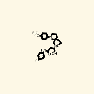 O=C(CC(CO)N1CCCC2(CCCN(c3ccc(OC(F)(F)F)cc3)C2)C1)Nc1ccc(Cl)cc1